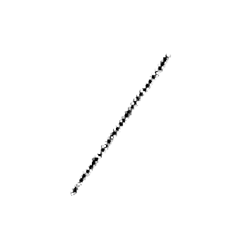 COSSSSSSSSSSSSSSSSSSSSSSSSSSSSSSSSSSSSSSSSSSSSSSSSSSSSSSSSSSSSSSS